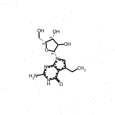 CCc1cn([C@@H]2O[C@H](CO)[C@H](O)C2O)c2nc(N)[nH]c(=O)c12